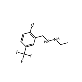 CCNNCc1cc(C(F)(F)F)ccc1Cl